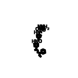 CCC(CCC(C)c1ccc(NC(=O)c2ccc(NN=C(C(N)=O)C(N)=O)cc2)cc1)c1ccccc1